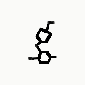 Cc1ccc(C(C)(C)C)c(Oc2ccc(C=O)cc2)c1